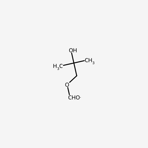 CC(C)(O)CO[C]=O